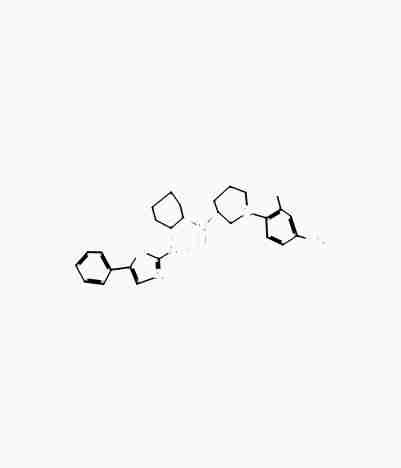 N#Cc1ccc(N2CCC[C@H](N[C@@H]3CCCC[C@H]3Nc3ncc(-c4ccccc4)o3)C2)c(F)c1